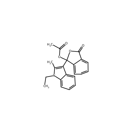 CCn1c(C)c(C2(OC(C)=O)OC(=O)c3ccccc32)c2ccccc21